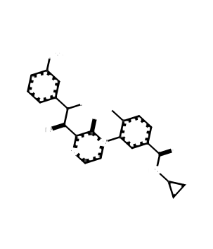 CCC(C(=N)c1nccn(-c2cc(C(=O)NC3CC3)ccc2C)c1=O)c1cccc(OC)c1